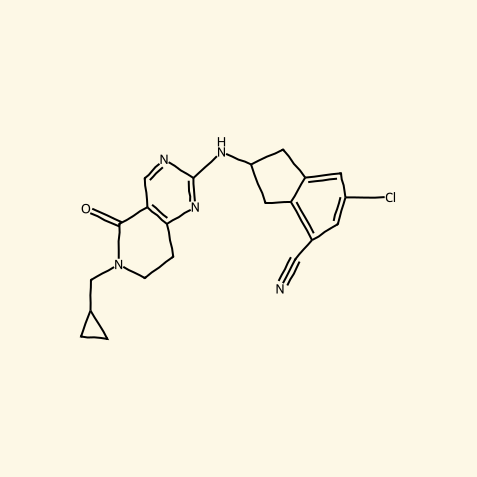 N#Cc1cc(Cl)cc2c1CC(Nc1ncc3c(n1)CCN(CC1CC1)C3=O)C2